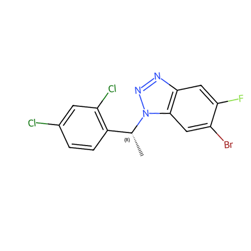 C[C@H](c1ccc(Cl)cc1Cl)n1nnc2cc(F)c(Br)cc21